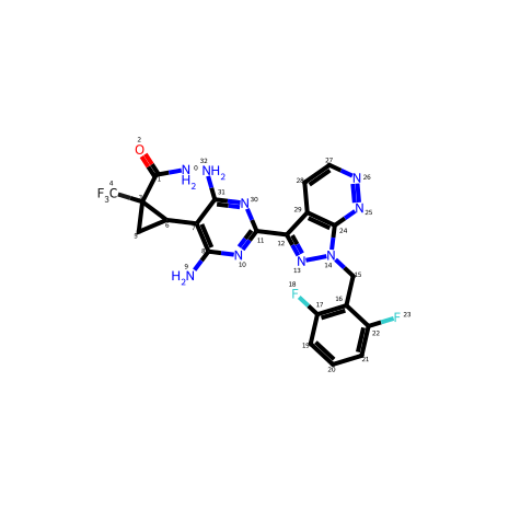 NC(=O)C1(C(F)(F)F)CC1c1c(N)nc(-c2nn(Cc3c(F)cccc3F)c3nnccc23)nc1N